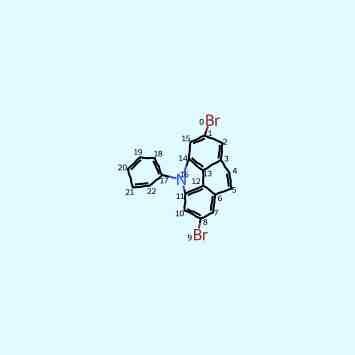 Brc1cc2ccc3cc(Br)cc4c3c2c(c1)n4-c1ccccc1